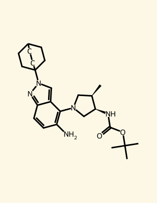 C[C@@H]1CN(c2c(N)ccc3nn(C45CCC(CC4)CC5)cc23)C[C@@H]1NC(=O)OC(C)(C)C